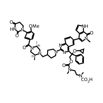 COc1ccc(C(=O)N2C[C@H](C)N(CC3CCN(c4nc(C(COC(=O)N(C)CCN(C)C(=O)O)(OC5CC5)c5ccccc5)c5cc(-c6cn(C)c(=O)c7[nH]ccc67)ccc5n4)CC3)C[C@H]2C)cc1N1CCC(=O)NC1=O